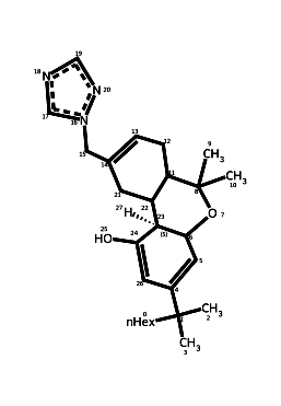 CCCCCCC(C)(C)C1=CC2OC(C)(C)C3CC=C(Cn4cncn4)CC3[C@@H]2C(O)=C1